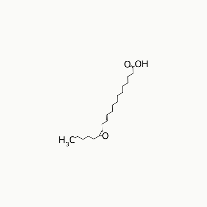 CCCCCC1OC1CC=CCCCCCCCCCC(=O)O